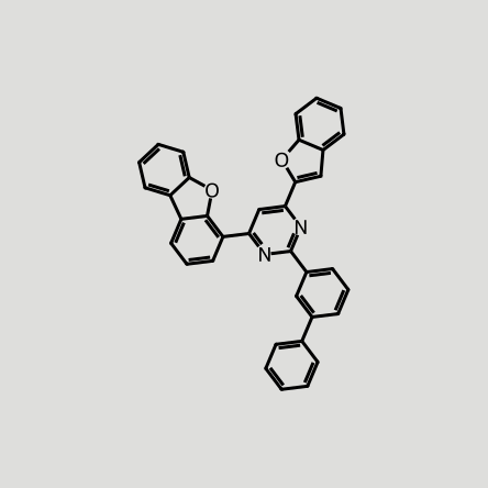 c1ccc(-c2cccc(-c3nc(-c4cc5ccccc5o4)cc(-c4cccc5c4oc4ccccc45)n3)c2)cc1